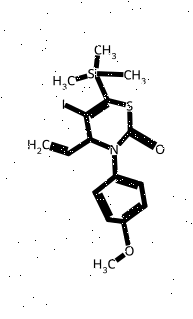 C=CC1C(I)=C([Si](C)(C)C)SC(=O)N1c1ccc(OC)cc1